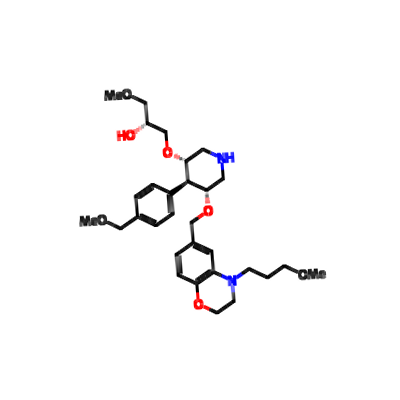 COCCCN1CCOc2ccc(CO[C@H]3CNC[C@@H](OC[C@H](O)COC)[C@@H]3c3ccc(COC)cc3)cc21